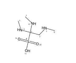 CNCC(NC)(NC)S(=O)(=O)O